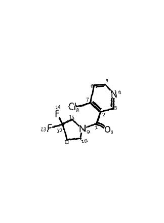 O=C(c1cnccc1Cl)N1CCC(F)(F)C1